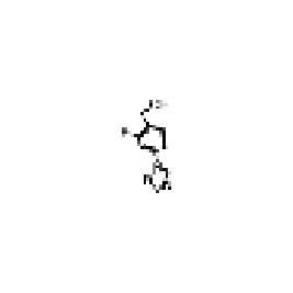 OCc1ccc(-n2cnnn2)cc1F